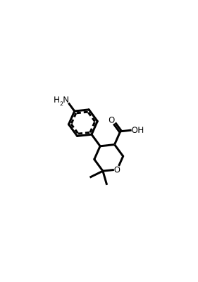 CC1(C)CC(c2ccc(N)cc2)C(C(=O)O)CO1